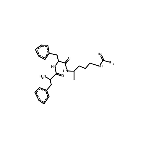 CC(CCCNC(=N)N)NC(=O)C(Cc1ccccc1)NC(=O)C(N)Cc1ccccc1